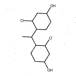 CC(C1CCC(O)CC1Cl)C1CCC(O)CC1Cl